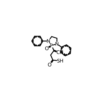 C=C(CC(=O)S)P1(=O)N(c2ccccc2)CCN1c1ccccc1